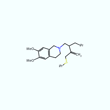 C=C(CSC(C)C)C(CC(C)C)CN1CCc2cc(OC)c(OC)cc2C1